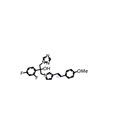 COc1ccc(/C=C/c2ccn(CC(O)(Cn3cncn3)c3ccc(F)cc3F)c2)cc1